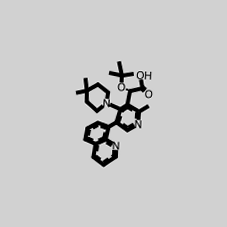 Cc1ncc(-c2cccc3cccnc23)c(N2CCC(C)(C)CC2)c1[C@H](OC(C)(C)C)C(=O)O